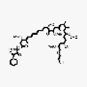 CCC(C[C@H](OC)/C(C)=C/C=C/C=C/CC[C@@H](C)C(=O)C(OC)[C@H](O)/C(C)=C/[C@@H](C)C(C)CC(CC[C@H](CC)C[C@H](COCCO)OC)OC=O)OC(O)(CC)C(=O)C(=O)N1CCCCC1